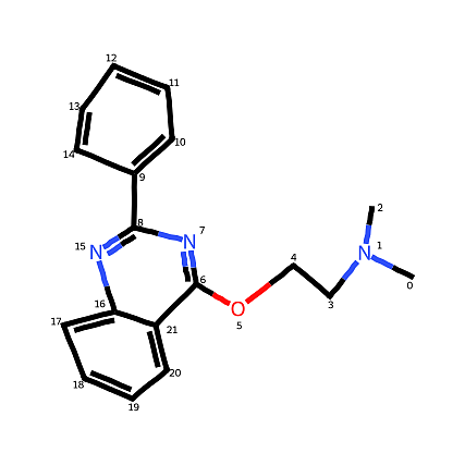 CN(C)CCOc1nc(-c2ccccc2)nc2ccccc12